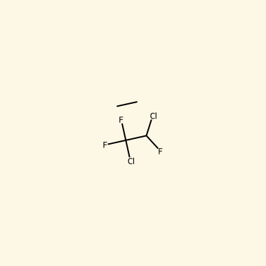 CC.FC(Cl)C(F)(F)Cl